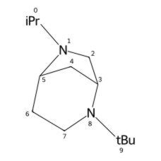 CC(C)N1CC2CC1CCN2C(C)(C)C